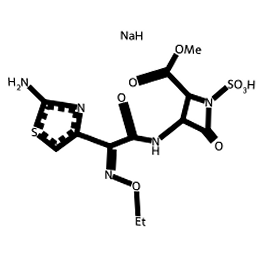 CCO/N=C(\C(=O)NC1C(=O)N(S(=O)(=O)O)C1C(=O)OC)c1csc(N)n1.[NaH]